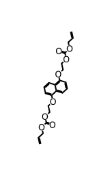 C=CCOC(=O)OCCOc1cccc2c(OCCOC(=O)OCC=C)cccc12